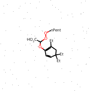 CCCCCOOC(OC1=C(CC)CC(CC)(CC)C=C1)C(=O)O